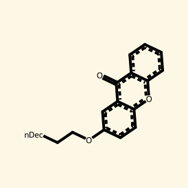 CCCCCCCCCCCCOc1ccc2oc3ccccc3c(=O)c2c1